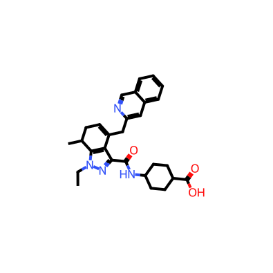 CCn1nc(C(=O)NC2CCC(C(=O)O)CC2)c2c1C(C)CC=C2Cc1cc2ccccc2cn1